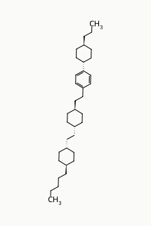 CCCCC[C@H]1CC[C@H](CC[C@H]2CC[C@H](CCc3ccc([C@H]4CC[C@H](CCC)CC4)cc3)CC2)CC1